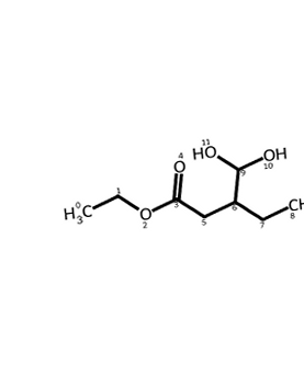 CCOC(=O)CC(CC)C(O)O